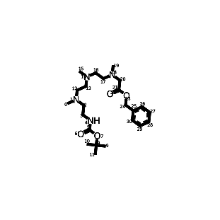 CN(CCNC(=O)OC(C)(C)C)CCN(C)CCN(C)CC(=O)OCc1ccccc1